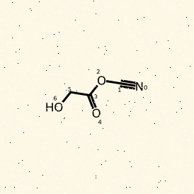 N#COC(=O)CO